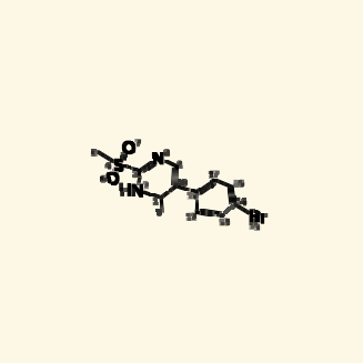 CC1NC(S(C)(=O)=O)=NC=C1c1ccc(Br)cc1